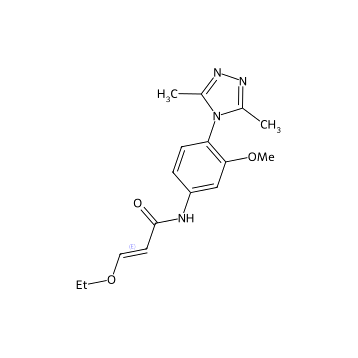 CCO/C=C/C(=O)Nc1ccc(-n2c(C)nnc2C)c(OC)c1